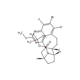 CSc1nc2c3c(c(Cl)c(Br)c(F)c3n1)CC[C@@H]1[C@@H]3CC[C@H](CN21)N3C(=O)OC(C)(C)C